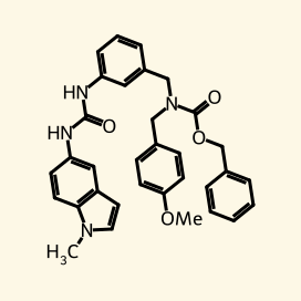 COc1ccc(CN(Cc2cccc(NC(=O)Nc3ccc4c(ccn4C)c3)c2)C(=O)OCc2ccccc2)cc1